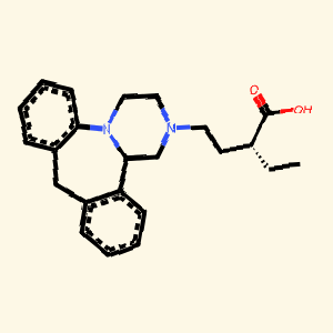 CC[C@H](CCN1CCN2c3ccccc3Cc3ccccc3C2C1)C(=O)O